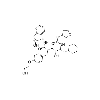 O=C(NC(CC1CCCCC1)C(O)CC(Cc1ccc(OCCO)cc1)C(=O)N[C@H]1c2ccccc2C[C@@H]1O)OC1CCOC1